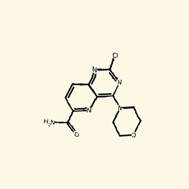 NC(=O)c1ccc2nc(Cl)nc(N3CCOCC3)c2n1